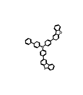 C1=CC(N(C2=CCC(c3ccccc3)C=C2)c2ccc(-c3ccc4sc5ccccc5c4c3)cc2)CC=C1C1C=c2c(oc3ccccc23)=CC1